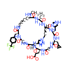 CN[C@@H]1CCCCNC(=O)[C@H](Cc2ccc(C(F)(F)F)cc2)NC(=O)CNC(=O)[C@H]2Cc3cn(nn3)CCC[C@@H](NC(=O)[C@H](C)NC1=O)C(=O)N[C@@H](Cc1c[nH]cn1)C(=O)N[C@@H](CC1CC1)C(=O)NCC(=O)N[C@@H](CCC(=O)O)C(=O)N2